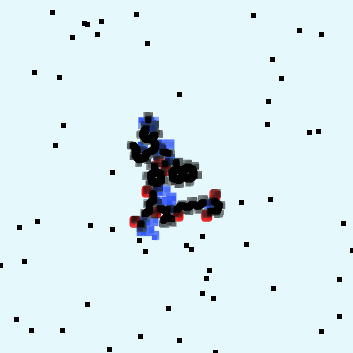 Cc1cccc(-c2nc(CN(Cc3cccc4ccccc34)C(=O)OCc3ccc(NC(=O)C(CCCNC(N)=O)NC(=O)C(NC(=O)CCCCCN4C(=O)C=CC4=O)C(C)C)cc3)[nH]c2-c2ccc3ncnn3c2)n1